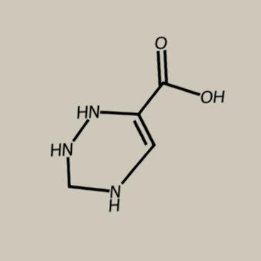 O=C(O)C1=CNCNN1